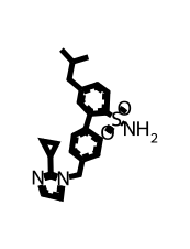 CC(C)Cc1ccc(S(N)(=O)=O)c(-c2ccc(Cn3ccnc3C3CC3)cc2)c1